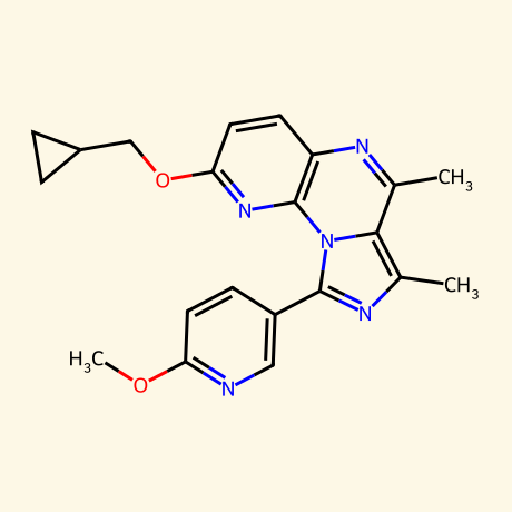 COc1ccc(-c2nc(C)c3c(C)nc4ccc(OCC5CC5)nc4n23)cn1